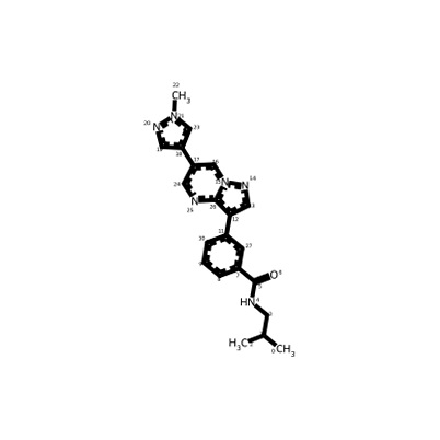 CC(C)CNC(=O)c1cccc(-c2cnn3cc(-c4cnn(C)c4)cnc23)c1